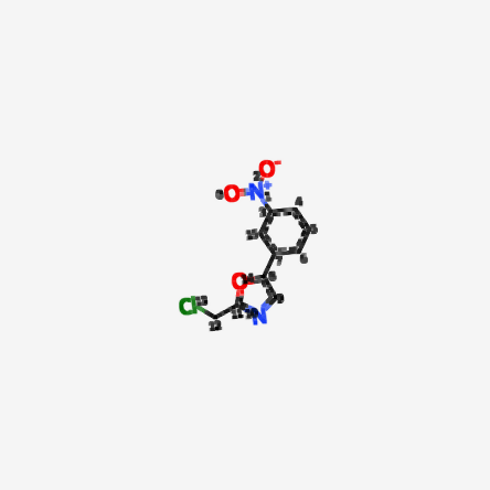 O=[N+]([O-])c1cccc(-c2cnc(CCl)o2)c1